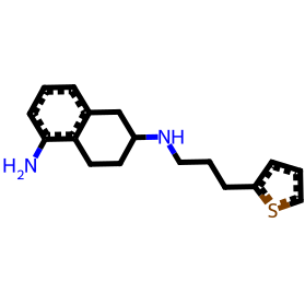 Nc1cccc2c1CCC(NCCCc1cccs1)C2